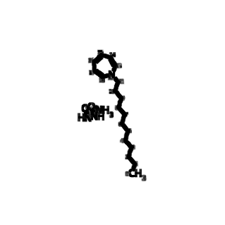 CCCCCCCCCCCCN1C=CC=CC=C1.N.N=O.N=O